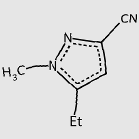 CCc1cc(C#N)nn1C